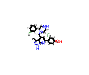 Cc1n[nH]c2nc(-c3ccc(O)cc3F)cc(CN3CCNC[C@@H]3c3cccc(F)c3)c12